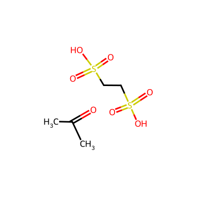 CC(C)=O.O=S(=O)(O)CCS(=O)(=O)O